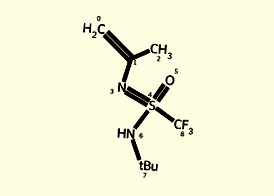 C=C(C)N=S(=O)(NC(C)(C)C)C(F)(F)F